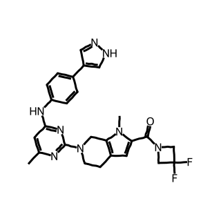 Cc1cc(Nc2ccc(-c3cn[nH]c3)cc2)nc(N2CCc3cc(C(=O)N4CC(F)(F)C4)n(C)c3C2)n1